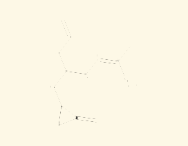 C=CCC(C/C=C(/C)N)CC1CC1=C